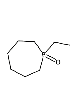 CCP1(=O)CCCCCC1